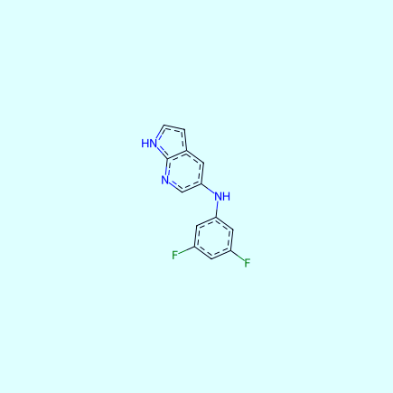 Fc1cc(F)cc(Nc2cnc3[nH]ccc3c2)c1